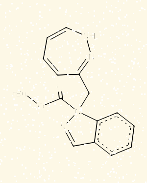 CC(C)(C)OC(=O)[N+]1(CC2=NNC=CC=C2)N=Cc2ccccc21